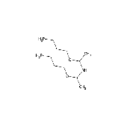 CC(NC(C)OCCCP)OCCCP